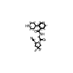 N#C[C@@H]1CC(F)(F)CN1C(=O)CNC(=O)c1ccncc1C1CCNCC1